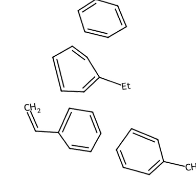 C=Cc1ccccc1.CCc1ccccc1.Cc1ccccc1.c1ccccc1